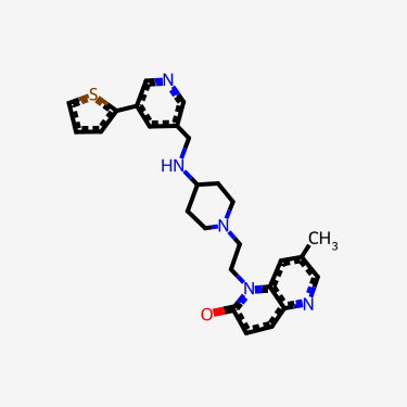 Cc1cnc2ccc(=O)n(CCN3CCC(NCc4cncc(-c5cccs5)c4)CC3)c2c1